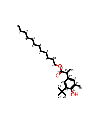 CCCCCCCCCCCCOC(=O)C(C)c1cc(C)c(O)c(C(C)(C)C)c1